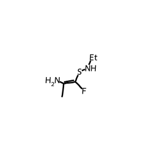 CCNS/C(F)=C(/C)N